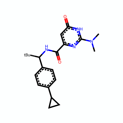 CN(C)c1nc(C(=O)NC(c2ccc(C3CC3)cc2)C(C)(C)C)cc(=O)[nH]1